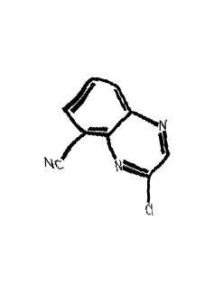 N#Cc1cccc2ncc(Cl)nc12